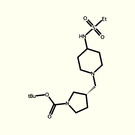 CCS(=O)(=O)NC1CCN(C[C@@H]2CCN(C(=O)OC(C)(C)C)C2)CC1